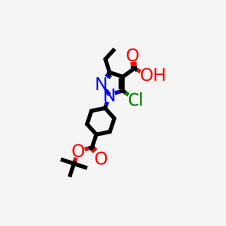 CCc1nn(C2CCC(C(=O)OC(C)(C)C)CC2)c(Cl)c1C(=O)O